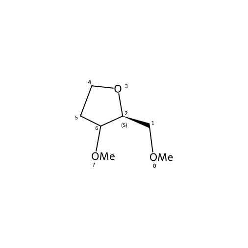 COC[C@@H]1OCCC1OC